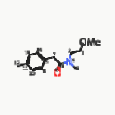 COCCN(C)C(=O)Cc1ccc(C)cc1